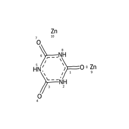 O=c1[nH]c(=O)[nH]c(=O)[nH]1.[Zn].[Zn]